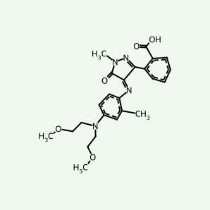 COCCN(CCOC)c1ccc(N=C2C(=O)N(C)N=C2c2ccccc2C(=O)O)c(C)c1